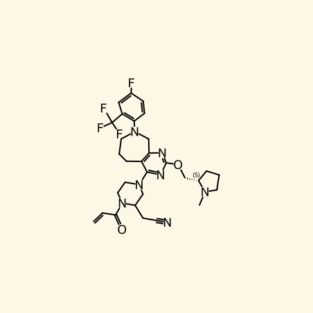 C=CC(=O)N1CCN(c2nc(OC[C@@H]3CCCN3C)nc3c2CCCN(c2ccc(F)cc2C(F)(F)F)C3)CC1CC#N